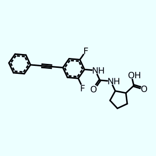 O=C(Nc1c(F)cc(C#Cc2ccccc2)cc1F)NC1CCCC1C(=O)O